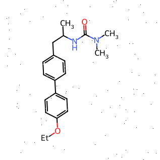 CCOc1ccc(-c2ccc(CC(C)NC(=O)N(C)C)cc2)cc1